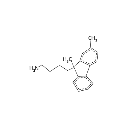 Cc1ccc2c(c1)C(C)(CCCCN)c1ccccc1-2